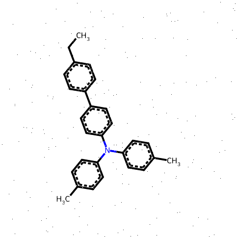 CCc1ccc(-c2ccc(N(c3ccc(C)cc3)c3ccc(C)cc3)cc2)cc1